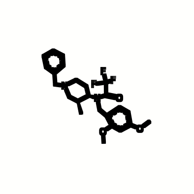 COc1ccc(CN(C(=O)C(F)(F)F)[C@@H]2CCN(Cc3ccccc3)C[C@@H]2C)c(OC)c1